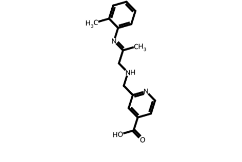 C/C(CNCc1cc(C(=O)O)ccn1)=N\c1ccccc1C